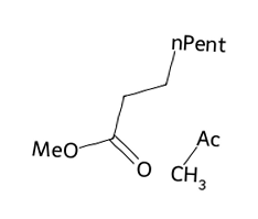 CC(C)=O.CCCCCCCC(=O)OC